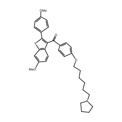 COc1ccc(-c2sc3cc(OC)ccc3c2C(=O)c2ccc(OCCCCCCN3CCCC3)cc2)cc1